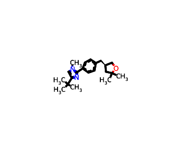 Cn1cc(C(C)(C)C)nc1-c1ccc(C[C@H]2COC(C)(C)C2)cc1